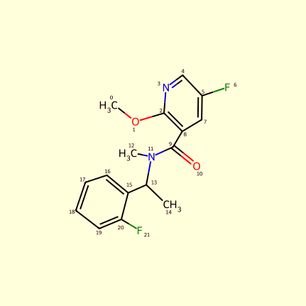 COc1ncc(F)cc1C(=O)N(C)C(C)c1ccccc1F